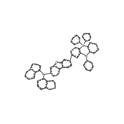 c1ccc(N2c3ccccc3[Si](c3ccccc3)(c3ccccc3)c3ccc(-c4ccc5c(c4)oc4cc(N(c6cccc7ccccc67)c6cccc7ccccc67)ccc45)cc32)cc1